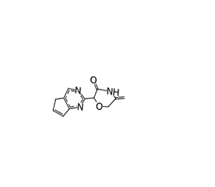 C=C1COC(c2ncc3c(n2)C=CC3)C(=O)N1